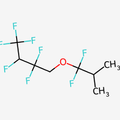 CC(C)C(F)(F)OCC(F)(F)C(F)C(F)(F)F